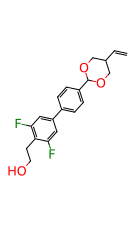 C=CC1COC(c2ccc(-c3cc(F)c(CCO)c(F)c3)cc2)OC1